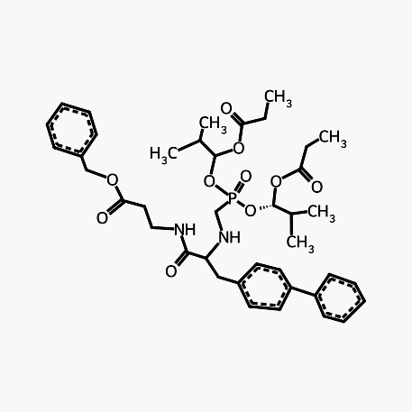 CCC(=O)OC(OP(=O)(CNC(Cc1ccc(-c2ccccc2)cc1)C(=O)NCCC(=O)OCc1ccccc1)O[C@H](OC(=O)CC)C(C)C)C(C)C